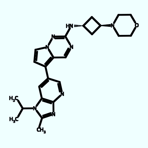 Cc1nc2ncc(-c3ccn4nc(N[C@H]5C[C@H](N6CCOCC6)C5)ncc34)cc2n1C(C)C